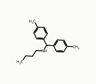 CCCCNC(c1ccc(C)cc1)c1ccc(C)cc1